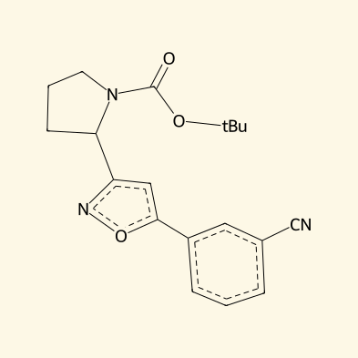 CC(C)(C)OC(=O)N1CCCC1c1cc(-c2cccc(C#N)c2)on1